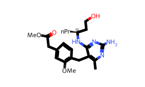 CCC[C@@H](CCO)Nc1nc(N)nc(C)c1Cc1ccc(CC(=O)OC)cc1OC